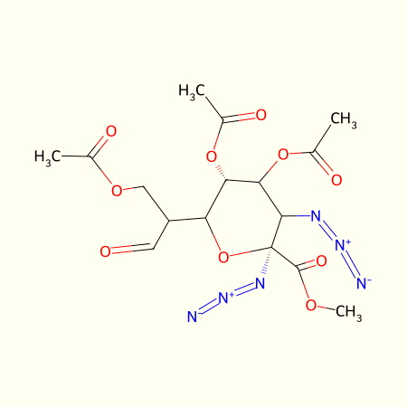 COC(=O)[C@@]1(N=[N+]=[N-])OC(C(C=O)COC(C)=O)[C@H](OC(C)=O)C(OC(C)=O)C1N=[N+]=[N-]